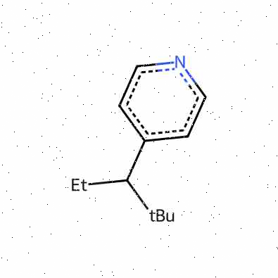 CCC(c1ccncc1)C(C)(C)C